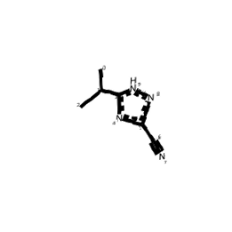 CC(C)c1nc(C#N)n[nH]1